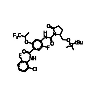 CC(Oc1cc(NC(=O)N2C(=O)CCC2CO[Si](C)(C)C(C)(C)C)c(F)cc1C(=O)Nc1c(F)cccc1Cl)C(F)(F)F